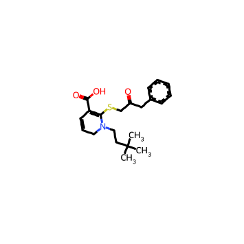 CC(C)(C)CCN1CC=CC(C(=O)O)=C1SCC(=O)Cc1ccccc1